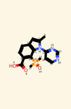 Cc1cc2ccc(C(=O)O)c(P(C)(C)=O)c2n1-c1ccncn1